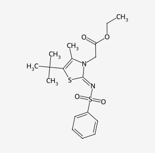 CCOC(=O)Cn1c(C)c(C(C)(C)C)s/c1=N\S(=O)(=O)c1ccccc1